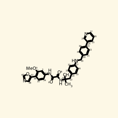 COc1cc(NC(=O)C(=O)NC(C)(C)Cc2ccc(NCc3ccc(-c4cccnc4)cc3)cc2)ccc1-c1cnco1